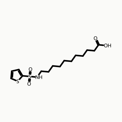 O=C(O)CCCCCCCCCCNS(=O)(=O)c1cccs1